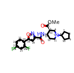 COC(=O)[C@H]1CN(C2CCCC2)CC[C@@H]1NC(=O)c1cc(-c2ccc(F)cc2F)on1